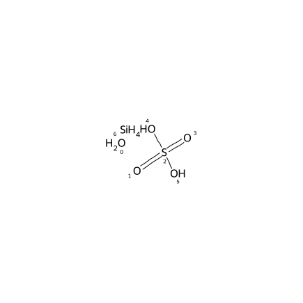 O.O=S(=O)(O)O.[SiH4]